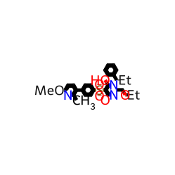 CCOCc1nc(=O)c(S(=O)(=O)c2ccc(-c3ccc(OC)nc3C)cc2)c(O)n1[C@@H](CC)c1ccccc1